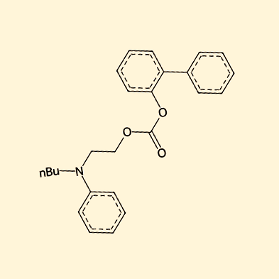 CCCCN(CCOC(=O)Oc1ccccc1-c1ccccc1)c1ccccc1